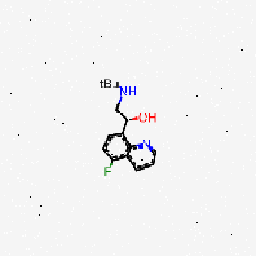 CC(C)(C)NC[C@@H](O)c1ccc(F)c2cccnc12